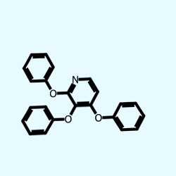 c1ccc(Oc2ccnc(Oc3ccccc3)c2Oc2ccccc2)cc1